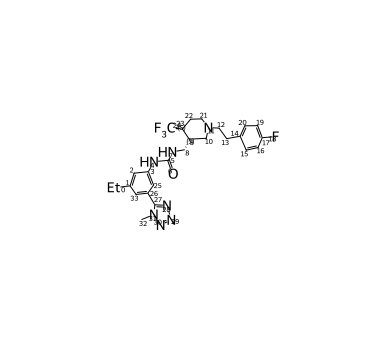 CCc1cc(NC(=O)NC[C@H]2CN(CCc3ccc(F)cc3)CC[C@@H]2C(F)(F)F)cc(-c2nnnn2C)c1